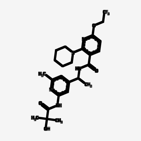 Cc1cc(C(C)NC(=O)c2ccc(OCC(F)(F)F)nc2N2CCCCC2)cc(NC(=O)C(C)(C)O)n1